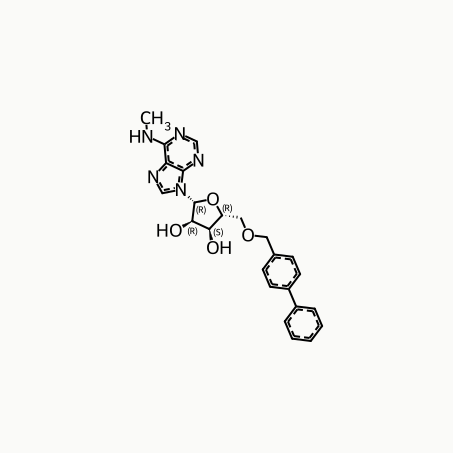 CNc1ncnc2c1ncn2[C@@H]1O[C@H](COCc2ccc(-c3ccccc3)cc2)[C@@H](O)[C@H]1O